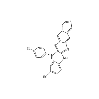 CCc1ccc(Nc2nc3cc4ccccc4cc3nc2Nc2ccc(CC)cc2)cc1